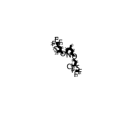 Cc1cc(OCC=C(Cl)SC(F)(F)F)nc(Oc2csc(C(F)(F)F)c2)c1